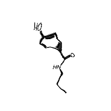 CCCNC(=O)c1ccc(O)cc1